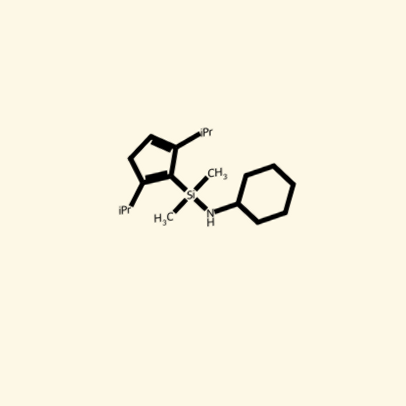 CC(C)C1=CCC(C(C)C)=C1[Si](C)(C)NC1CCCCC1